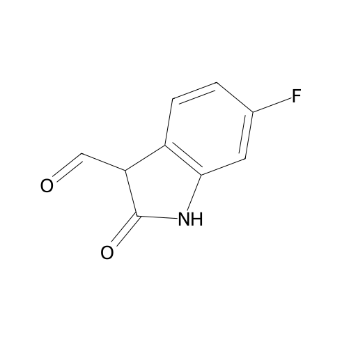 O=CC1C(=O)Nc2cc(F)ccc21